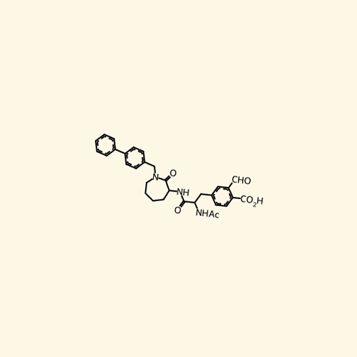 CC(=O)NC(Cc1ccc(C(=O)O)c(C=O)c1)C(=O)NC1CCCCN(Cc2ccc(-c3ccccc3)cc2)C1=O